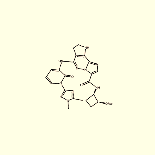 CO[C@H]1CC[C@H]1NC(=O)c1cnc2c3c(c(Nc4cccn(-c5cc(C)n(C)n5)c4=O)nn12)CCN3